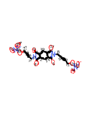 O=c1c2cc3c(=O)n(CC#CCO[N+](=O)[O-])c(=O)c3cc2c(=O)n1CC#CCO[N+](=O)[O-]